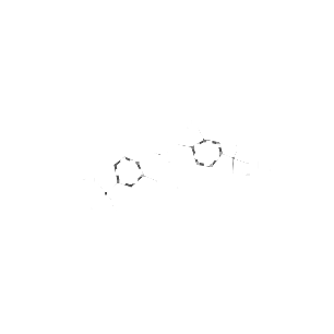 CCCCCC(C)(C)c1ccc(OP(F)Oc2ccc(C(C)(C)CCCCC)cc2C)c(C)c1